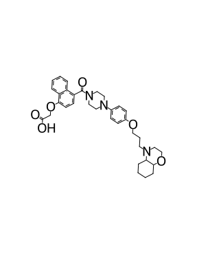 O=C(O)COc1ccc(C(=O)N2CCN(c3ccc(OCCCN4CCOC5CCCCC54)cc3)CC2)c2ccccc12